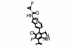 C=C(C)c1c(F)c(Cl)c(-c2ccn3nc(NC(=O)[C@@H]4C[C@@H]4F)cc3c2)c2cn[nH]c12